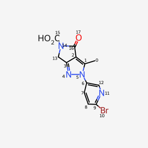 Cc1c2c(nn1-c1ccc(Br)nc1)CN(C(=O)O)C2=O